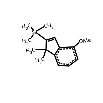 COc1cccc2c1C=C([Si](C)(C)C)C2(C)C